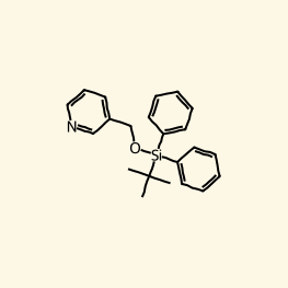 CC(C)(C)[Si](OCc1cccnc1)(c1ccccc1)c1ccccc1